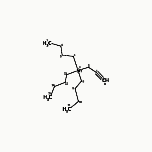 C#C[CH2][Sn]([CH2]CCC)([CH2]CCC)[CH2]CCC